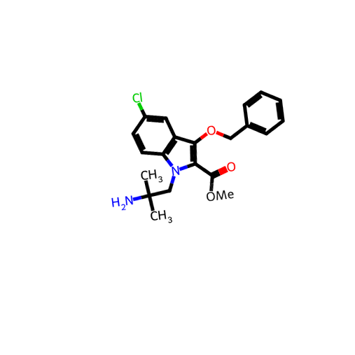 COC(=O)c1c(OCc2ccccc2)c2cc(Cl)ccc2n1CC(C)(C)N